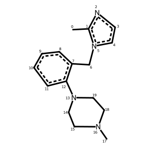 Cc1nccn1Cc1ccccc1N1CCN(C)CC1